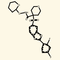 O=C(NOC1CCCCO1)C1(S(=O)(=O)c2ccc3nc(-c4ccc(F)cc4F)sc3c2)CCOCC1